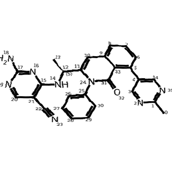 Cc1ncc(-c2cccc3cc([C@H](C)Nc4nc(N)ncc4C#N)n(-c4ccccc4)c(=O)c23)cn1